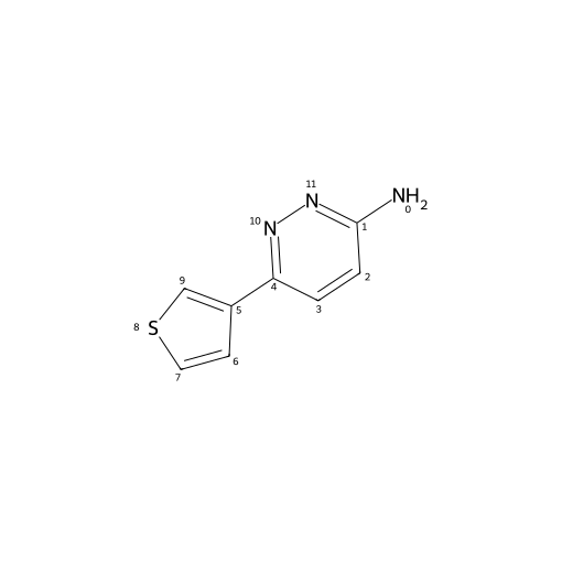 Nc1ccc(-c2ccsc2)nn1